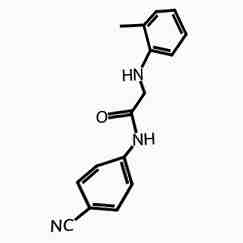 Cc1ccccc1NCC(=O)Nc1ccc(C#N)cc1